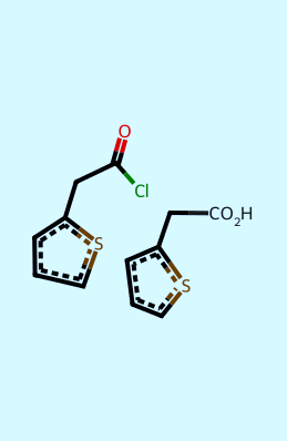 O=C(Cl)Cc1cccs1.O=C(O)Cc1cccs1